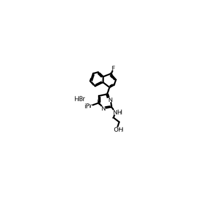 Br.CC(C)c1cc(-c2ccc(F)c3ccccc23)nc(NCCO)n1